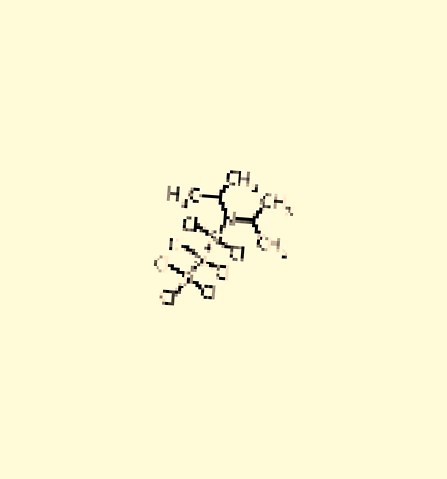 CC(C)N(C(C)C)[Si](Cl)(Cl)[Si](Cl)(Cl)[Si](Cl)(Cl)Cl